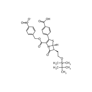 CC(C)(C)[Si](C)(C)OCC[C@H]1C(=O)N2C(C(=O)OCc3ccc([N+](=O)[O-])cc3)=C(c3ccc(C(=O)O)cc3)S[C@H]12